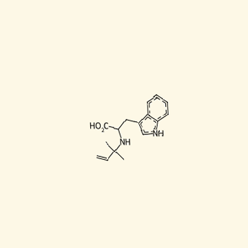 C=CC(C)(C)NC(Cc1c[nH]c2ccccc12)C(=O)O